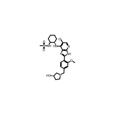 COc1cc(CN2CC[C@@H](O)C2)ccc1-c1nc2c(N[C@@H]3CCCCC3NS(C)(=O)=O)c(Cl)cnc2[nH]1